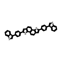 c1ccc2c(-c3ccc(-c4cc5ccc6c(ccc7cc(-c8ccc(-c9csc%10ccccc9%10)cc8)sc76)c5s4)cc3)csc2c1